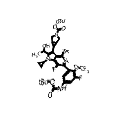 CC(C)c1nc(-c2cc(NC(=O)OC(C)(C)C)cc(F)c2OC(F)(F)F)c(F)c2c1c(C1C3CN(C(=O)OC(C)(C)C)CC31)c(C(C)O)n2C1CC1